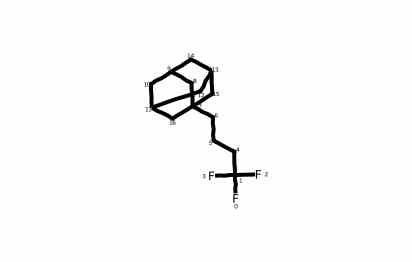 FC(F)(F)CCCC12CC3CC(CC(C3)C1)C2